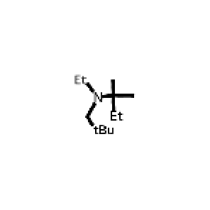 CCN(CC(C)(C)C)C(C)(C)CC